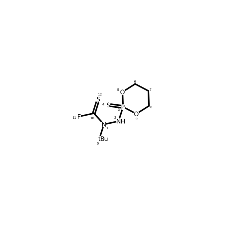 CC(C)(C)N(NP1(=S)OCCCO1)C(F)=S